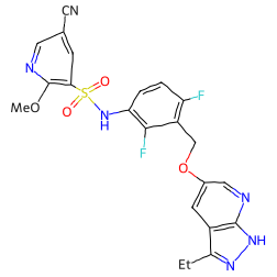 CCc1n[nH]c2ncc(OCc3c(F)ccc(NS(=O)(=O)c4cc(C#N)cnc4OC)c3F)cc12